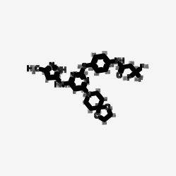 Cc1cc(Nc2cc(N3CCC4(CC3)OCCO4)nc(Sc3ccc(NC(=O)CC(F)(F)F)cc3)n2)[nH]n1